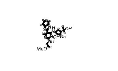 CO[C@H](C)CNc1nc(C)c(-c2nc3cnccc3s2)c(N[C@@H]2C[C@H](C(C)(C)O)[C@@H](O)[C@H]2O)n1